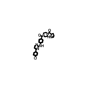 O=C(c1ccc(Nc2nccc(-c3ccc(Cl)cc3)n2)cc1)N1CCN(C(=O)C2CC=CN2)CC1